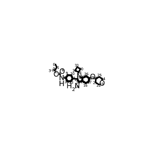 CC[C@@H](C)OC(=O)Nc1ccc(-c2c(N)c3ccc(OC4CCOCC4)cc3n2C2CCC2)cc1